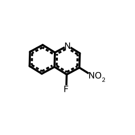 O=[N+]([O-])c1cnc2ccccc2c1F